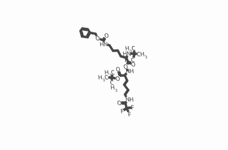 CC(C)(C)NC(CCCCNC(=O)OCc1ccccc1)C(=O)ONC(CCCCNC(=O)C(F)(F)F)C(=O)OC(C)(C)C